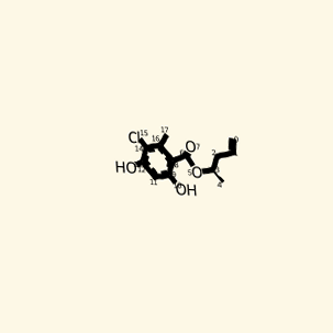 C=CC[C@@H](C)OC(=O)c1c(O)cc(O)c(Cl)c1C